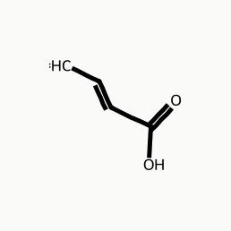 [CH]C=CC(=O)O